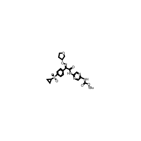 CC(C)(C)OC(=O)Nc1cnc(NC(=O)/C(=N/O[C@@H]2CCOC2)c2ccc(S(=O)(=O)C3CC3)cc2)cn1